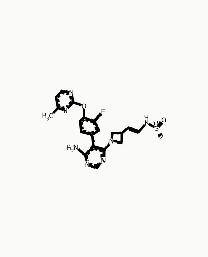 Cc1ccnc(Oc2ccc(-c3c(N)ncnc3N3CC(C=CN[SH](=O)=O)C3)cc2F)n1